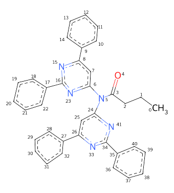 CCCC(=O)N(c1cc(-c2ccccc2)nc(-c2ccccc2)n1)c1cc(-c2ccccc2)nc(-c2ccccc2)n1